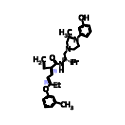 C=C/C(=C\C=C(/CC)Oc1cccc(C)c1)C(=O)N[C@H](CN1CCN(c2cccc(O)c2)[C@@H](C)C1)C(C)C